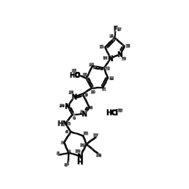 CC1(C)CC(Nc2ncc(-c3ccc(-n4cc(F)cn4)cc3O)nn2)CC(C)(C)N1.Cl